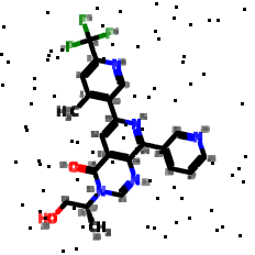 Cc1cc(C(F)(F)F)ncc1-c1cc2c(=O)n([C@@H](C)CO)cnc2c(-c2cccnc2)n1